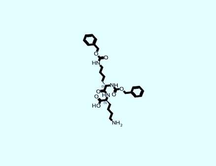 NCCCC[C@H](NC(=O)[C@H](CCCCNC(=O)OCc1ccccc1)NC(=O)OCc1ccccc1)C(=O)O